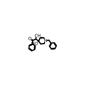 CC(C(=O)c1ccccc1)C1(O)CCN(Cc2ccccc2)CC1